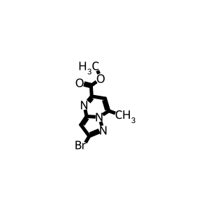 COC(=O)c1cc(C)n2nc(Br)cc2n1